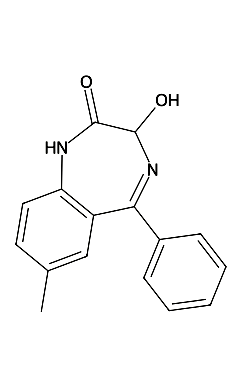 Cc1ccc2c(c1)C(c1ccccc1)=NC(O)C(=O)N2